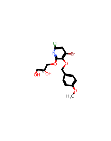 COc1ccc(COc2c(Br)cc(Cl)nc2OC[C@@H](O)CO)cc1